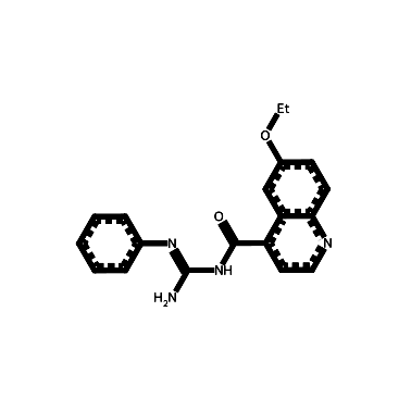 CCOc1ccc2nccc(C(=O)NC(N)=Nc3ccccc3)c2c1